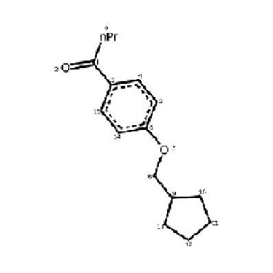 CCCC(=O)c1ccc(OCC2CCCC2)cc1